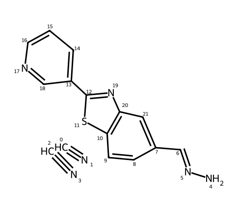 C#N.C#N.NN=Cc1ccc2sc(-c3cccnc3)nc2c1